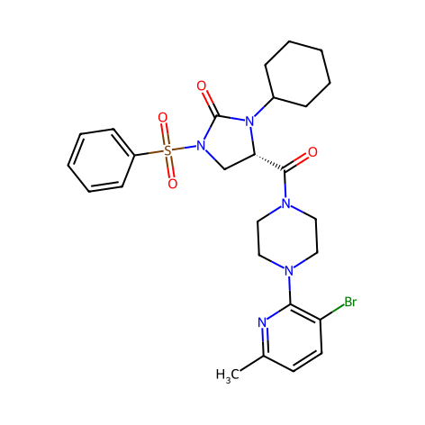 Cc1ccc(Br)c(N2CCN(C(=O)[C@@H]3CN(S(=O)(=O)c4ccccc4)C(=O)N3C3CCCCC3)CC2)n1